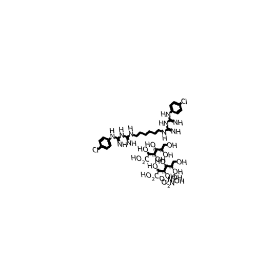 N=C(NCCCCCCNC(=N)NC(=N)Nc1ccc(Cl)cc1)NC(=N)Nc1ccc(Cl)cc1.O=C(O)[C@H](O)[C@@H](O)[C@H](O)[C@H](O)CO.O=C(O)[C@H](O)[C@@H](O)[C@H](O)[C@H](O)CO.O=[N+]([O-])O.O=[N+]([O-])O